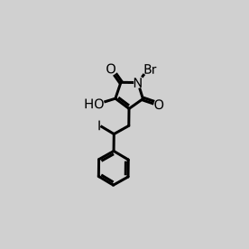 O=C1C(O)=C(CC(I)c2ccccc2)C(=O)N1Br